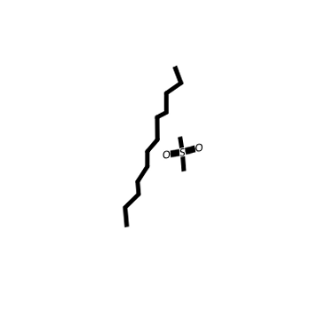 CCCCCCCCCCCC.CS(C)(=O)=O